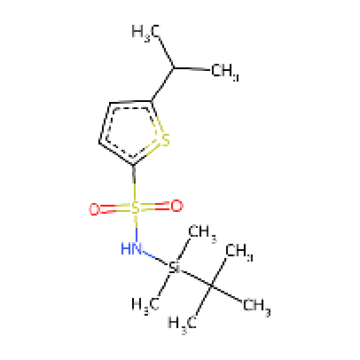 CC(C)c1ccc(S(=O)(=O)N[Si](C)(C)C(C)(C)C)s1